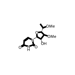 COC(C)[C@H]1O[C@@H](n2ccc(=O)[nH]c2=O)[C@@H](O)C1OC